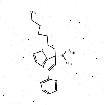 CCCCCCCC(/C=C/c1ccccc1)(c1nccs1)N(C)C.I